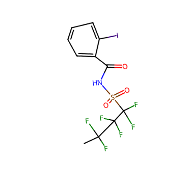 CC(F)(F)C(F)(F)C(F)(F)S(=O)(=O)NC(=O)c1ccccc1I